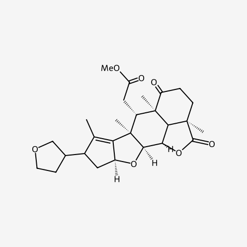 COC(=O)C[C@H]1[C@]2(C)C3=C(C)C(C4CCOC4)C[C@@H]3O[C@@H]2[C@@H]2OC(=O)[C@]3(C)CCC(=O)[C@@]1(C)C23